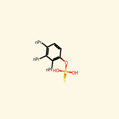 CCCc1ccc(OP(O)(O)=S)c(CCC)c1CCC